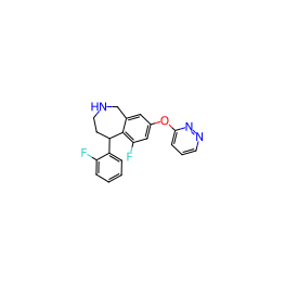 Fc1ccccc1C1CCNCc2cc(Oc3cccnn3)cc(F)c21